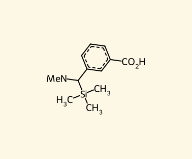 CNC(c1cccc(C(=O)O)c1)[Si](C)(C)C